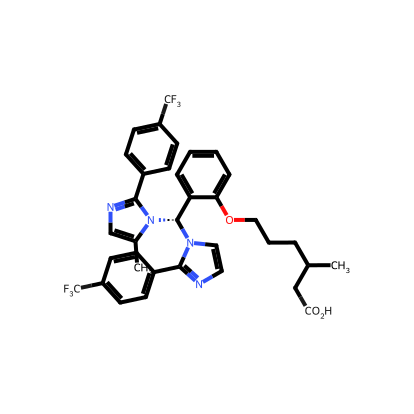 Cc1cnc(-c2ccc(C(F)(F)F)cc2)n1[C@H](c1ccccc1OCCCC(C)CC(=O)O)n1ccnc1-c1ccc(C(F)(F)F)cc1